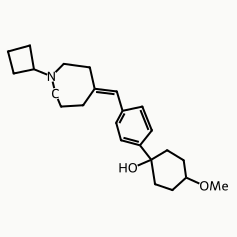 COC1CCC(O)(c2ccc(C=C3CCCN(C4CCC4)CC3)cc2)CC1